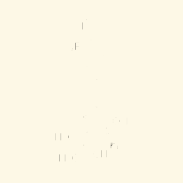 CC(C)(C)C(SCCCCCC(F)(F)F)C(=O)O